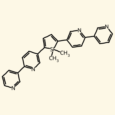 C[Si]1(C)C(c2ccc(-c3cccnc3)nc2)=CC=C1c1ccc(-c2cccnc2)nc1